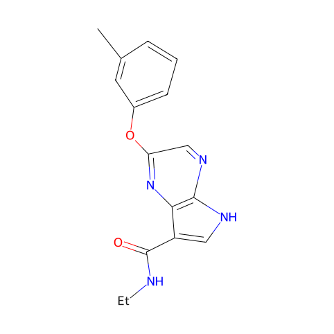 CCNC(=O)c1c[nH]c2ncc(Oc3cccc(C)c3)nc12